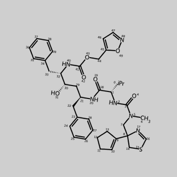 CC(C)[C@H](NC(=O)N(C)CC1(C2=CCCC2)CSC=N1)C(=O)N[C@@H](Cc1ccccc1)C[C@H](O)[C@H](Cc1ccccc1)NC(=O)OCc1ccno1